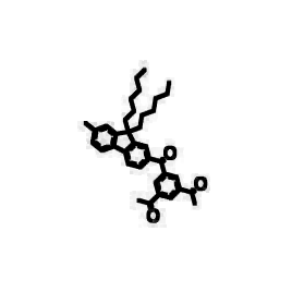 CCCCCCC1(CCCCCC)c2cc(C)ccc2-c2ccc(C(=O)c3cc(C(C)=O)cc(C(C)=O)c3)cc21